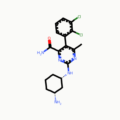 Cc1nc(N[C@H]2CCC[C@@H](N)C2)nc(C(N)=O)c1-c1cccc(Cl)c1Cl